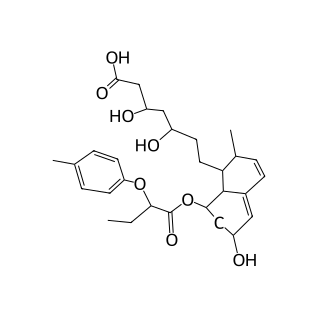 CCC(Oc1ccc(C)cc1)C(=O)OC1CC(O)C=C2C=CC(C)C(CCC(O)CC(O)CC(=O)O)C21